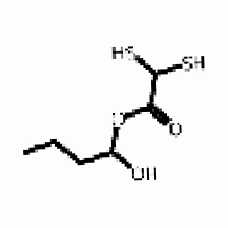 CCCC(O)OC(=O)C(S)S